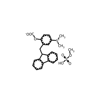 COS(=O)(=O)O.C[S+](C)c1ccc(OC(=O)[O-])c(CC2c3ccccc3-c3ccccc32)c1